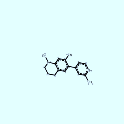 Cc1cc(-c2cc3c(cc2C#N)N(C(C)C)CCC3)ccn1